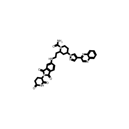 NC(=O)N1CCC(n2cc(-c3cnc4ccccc4n3)cn2)CC1CCNc1ccc2c(c1)C(=O)N(C1CCC(=O)NC1=O)C2=O